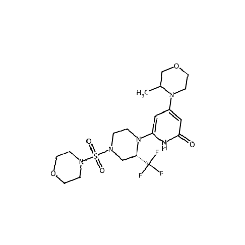 CC1COCCN1c1cc(N2CCN(S(=O)(=O)N3CCOCC3)C[C@H]2C(F)(F)F)[nH]c(=O)c1